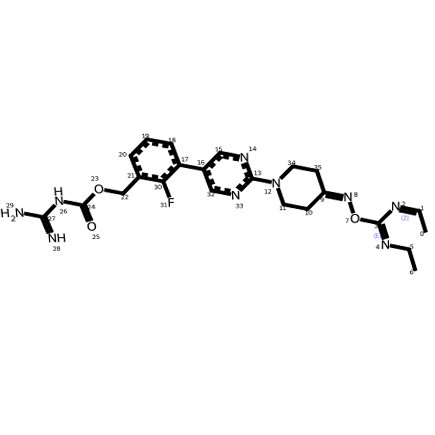 C/C=N\C(=N/CC)ON=C1CCN(c2ncc(-c3cccc(COC(=O)NC(=N)N)c3F)cn2)CC1